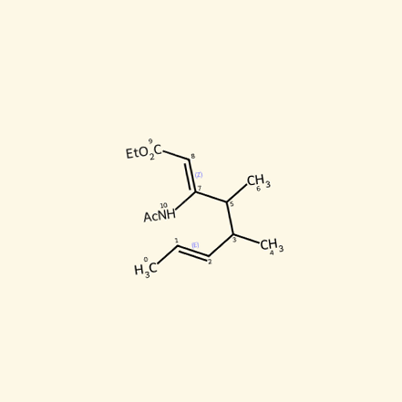 C/C=C/C(C)C(C)/C(=C/C(=O)OCC)NC(C)=O